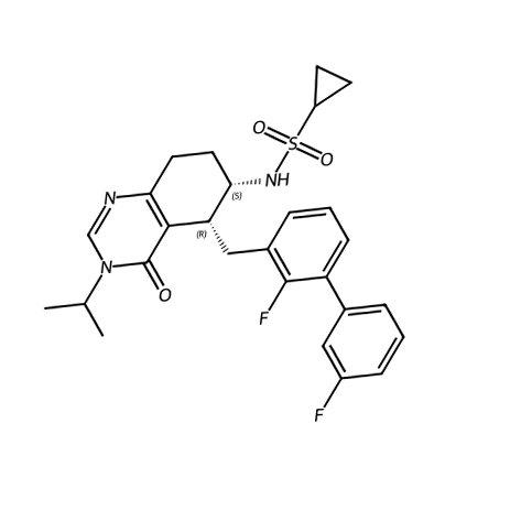 CC(C)n1cnc2c(c1=O)[C@@H](Cc1cccc(-c3cccc(F)c3)c1F)[C@@H](NS(=O)(=O)C1CC1)CC2